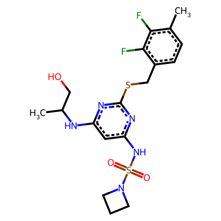 Cc1ccc(CSc2nc(NC(C)CO)cc(NS(=O)(=O)N3CCC3)n2)c(F)c1F